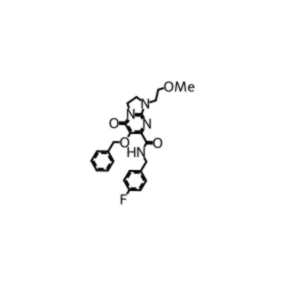 COCCN1CCn2c1nc(C(=O)NCc1ccc(F)cc1)c(OCc1ccccc1)c2=O